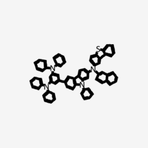 c1ccc(N(c2ccccc2)c2cc(-c3ccc4c(c3)c3ccc(N(c5ccc6ccccc6c5)c5ccc6sc7ccccc7c6c5)cc3n4-c3ccccc3)cc(N(c3ccccc3)c3ccccc3)c2)cc1